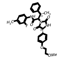 COCCOc1ccc([C@H]2NC(=O)N(C(C(=O)Nc3ccc(C)cc3F)[C@@H](C)c3ccccc3)C2=O)cc1